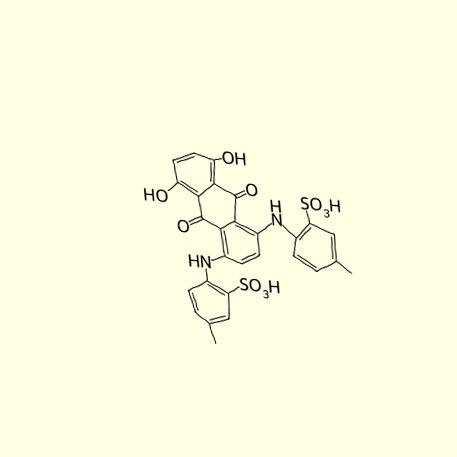 Cc1ccc(Nc2ccc(Nc3ccc(C)cc3S(=O)(=O)O)c3c2C(=O)c2c(O)ccc(O)c2C3=O)c(S(=O)(=O)O)c1